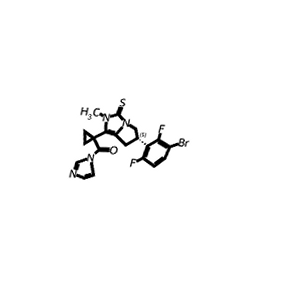 Cn1c(C2(C(=O)n3ccnc3)CC2)c2n(c1=S)C[C@H](c1c(F)ccc(Br)c1F)C2